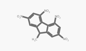 CC1c2cc([N+](=O)[O-])cc([N+](=O)[O-])c2-c2c1cc([N+](=O)[O-])cc2[N+](=O)[O-]